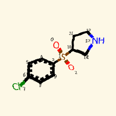 O=S(=O)(c1ccc(Cl)cc1)C1CCNC1